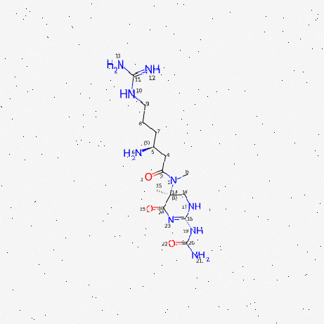 CN(C(=O)C[C@@H](N)CCCNC(=N)N)[C@@]1(C)CNC(NC(N)=O)=NC1=O